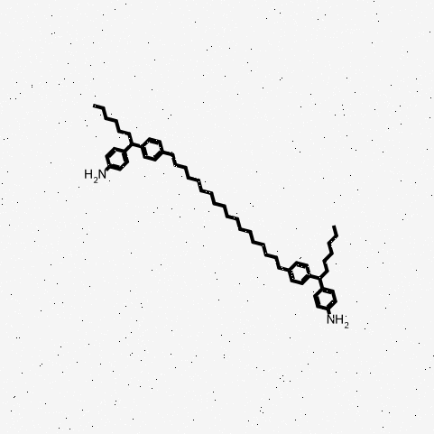 CCCCCCC(c1ccc(N)cc1)c1ccc(CCCCCCCCCCCCCCCCCCc2ccc(C(CCCCCC)c3ccc(N)cc3)cc2)cc1